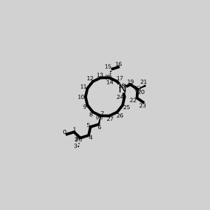 CC[C@@H](C)CCC[C@H]1CCCCCC[C@H](CC)CN(C[C@@H](C)CC)CCCC1